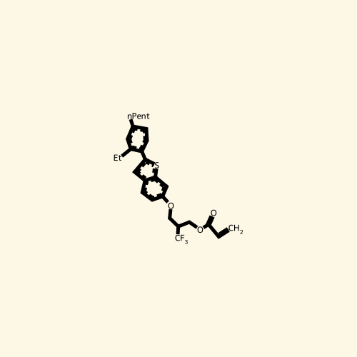 C=CC(=O)OCC(COc1ccc2cc(-c3ccc(CCCCC)cc3CC)sc2c1)C(F)(F)F